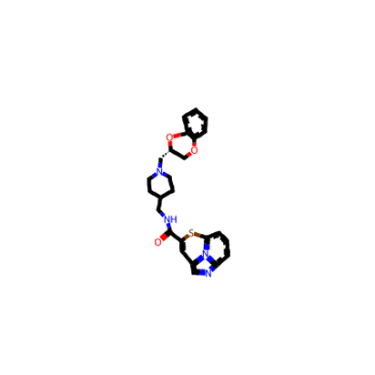 O=C(NCC1CCN(C[C@H]2COc3ccccc3O2)CC1)C1=Cc2cnc3cccc(n23)S1